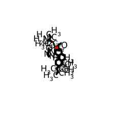 CC(C)[C@@H](C)[C@@]1(C)CC[C@]2(C)[C@H]3CC[C@@H]4[C@@]5(COC[C@@]4(C)[C@@H](OC[C@](C)(N)C(C)C)[C@H](n4ncnc4Cl)C5)C3=CC[C@@]2(C)[C@@H]1C(=O)O